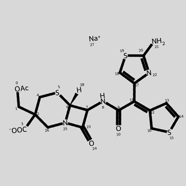 CC(=O)OCC1(C(=O)[O-])CS[C@@H]2C(NC(=O)C(=C3C=CSC3)c3csc(N)n3)C(=O)N2C1.[Na+]